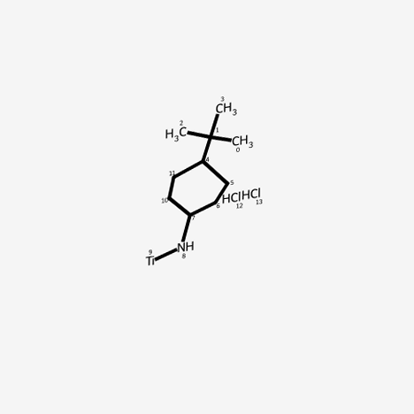 CC(C)(C)C1CCC([NH][Ti])CC1.Cl.Cl